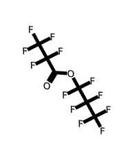 O=C(OC(F)(F)C(F)(F)C(F)(F)F)C(F)(F)C(F)(F)F